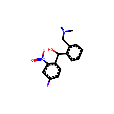 CN(C)Cc1ccccc1C(O)c1ccc(I)cc1[N+](=O)[O-]